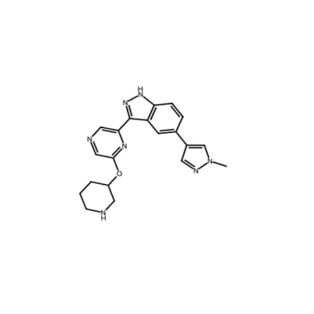 Cn1cc(-c2ccc3[nH]nc(-c4cncc(OC5CCCNC5)n4)c3c2)cn1